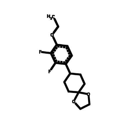 CCOc1ccc(C2CCC3(CC2)OCCO3)c(F)c1F